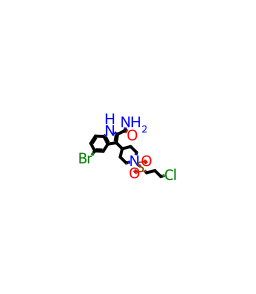 NC(=O)c1[nH]c2ccc(Br)cc2c1C1CCN(S(=O)(=O)CCCCl)CC1